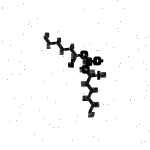 CCCCCC(I)OB([O])OC(I)CCCCC